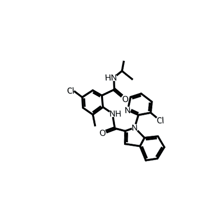 Cc1cc(Cl)cc(C(=O)NC(C)C)c1NC(=O)c1cc2ccccc2n1-c1ncccc1Cl